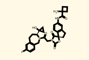 NC1(C(=O)Nc2ccc3c(c2)CC[C@]32OC(=O)N(CC(=O)N3Cc4ccc(F)cc4CC[C@H]3C3(O)CC3)C2=O)CCC1